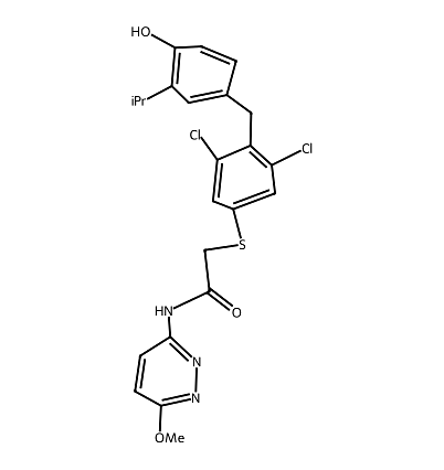 COc1ccc(NC(=O)CSc2cc(Cl)c(Cc3ccc(O)c(C(C)C)c3)c(Cl)c2)nn1